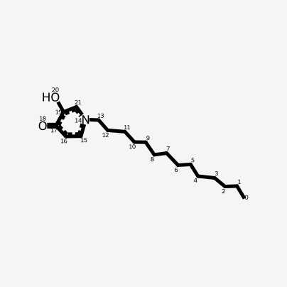 CCCCCCCCCCCCCCn1ccc(=O)c(O)c1